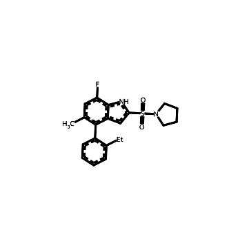 CCc1ccccc1-c1c(C)cc(F)c2[nH]c(S(=O)(=O)N3CCCC3)cc12